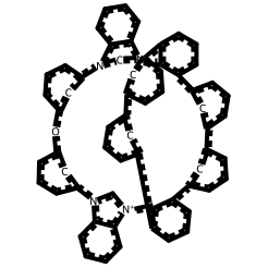 c1cc2cc(c1)c1cccc3c4cccc(c4)c4cccc(c4)c4cccc(c5cccc2c5)c4[n+]2cn(c4cccc(c4)oc4cccc(c4)n4c[n+](c5ccccc54)c13)c1ccccc12